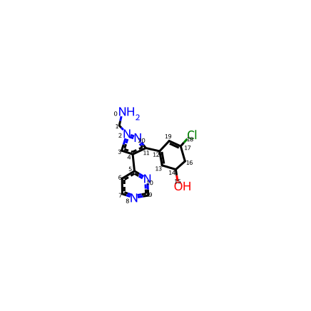 NCn1cc(-c2ccncn2)c(C2=CC(O)CC(Cl)=C2)n1